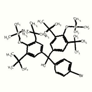 CC(C)(C)c1cc(C(O)(c2ccc(Br)cc2)c2cc(C(C)(C)C)c(O[Si](C)(C)C)c(C(C)(C)C)c2)cc(C(C)(C)C)c1O[Si](C)(C)C